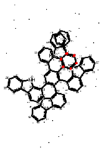 c1ccc(-c2ccccc2-c2ccccc2-c2cc(-c3cccc4c3[nH]c3ccccc34)c(-c3cccc4c3[nH]c3ccccc34)c(-c3cccc4c3[nH]c3ccccc34)c2-c2cccc3c2[nH]c2ccccc23)cc1